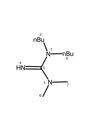 CCCCN(CCCC)C(=N)N(C)C